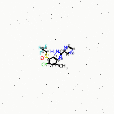 Cc1cc(Cl)c([S+]([O-])CC(F)(F)F)cc1/N=C(\N)c1cnccn1